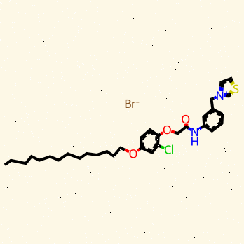 CCCCCCCCCCCCCCOc1ccc(OCC(=O)Nc2cccc(C[n+]3ccsc3)c2)c(Cl)c1.[Br-]